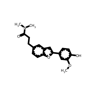 COc1cc(-c2cc3cc(CCC(=O)N(C)C)ccc3o2)ccc1O